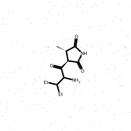 CCC(CC)C(N)C(=O)[C@@H]1C(=O)NC(=O)[C@H]1C